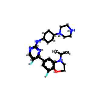 CC(C)N1CCOc2c(F)cc(-c3nc(NC4CCC(N5CCNCC5)CC4)ncc3F)cc21